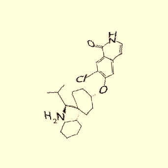 CC(C)[C@H](N)[C@]1(C2CCCCC2)CC[C@@H](Oc2cc3cc[nH]c(=O)c3cc2Cl)CC1